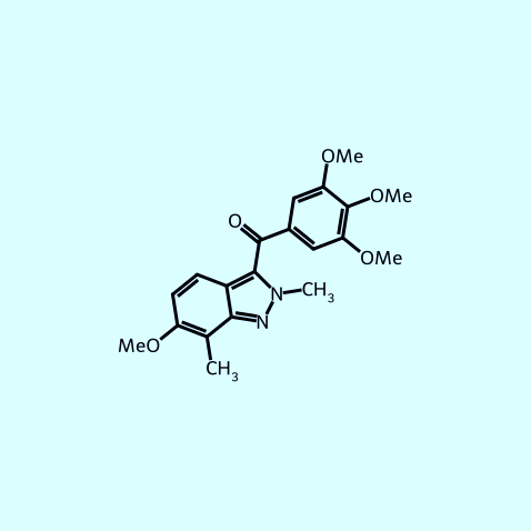 COc1cc(C(=O)c2c3ccc(OC)c(C)c3nn2C)cc(OC)c1OC